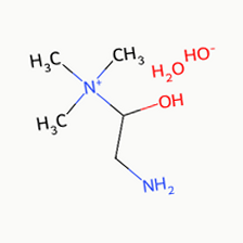 C[N+](C)(C)C(O)CN.O.[OH-]